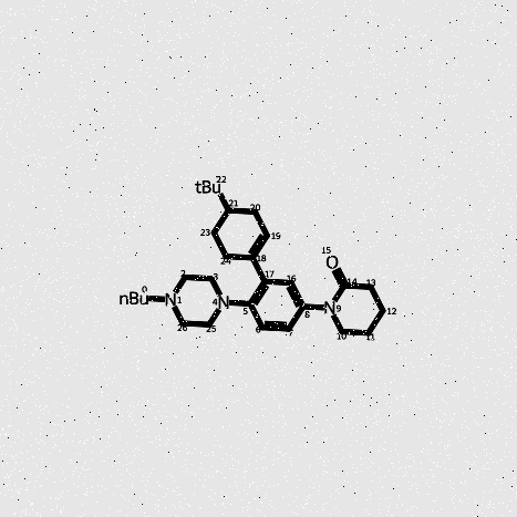 CCCCN1CCN(c2ccc(N3CCCCC3=O)cc2C2=CCC(C(C)(C)C)CC2)CC1